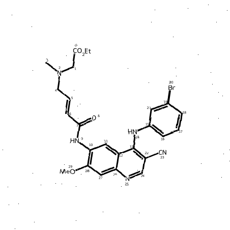 CCOC(=O)CN(C)CC=CC(=O)Nc1cc2c(Nc3cccc(Br)c3)c(C#N)cnc2cc1OC